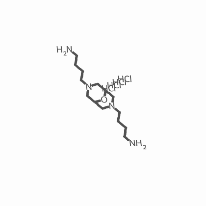 Cl.Cl.Cl.Cl.NCCCCN1CC2CN(CCCCN)CC(C1)O2